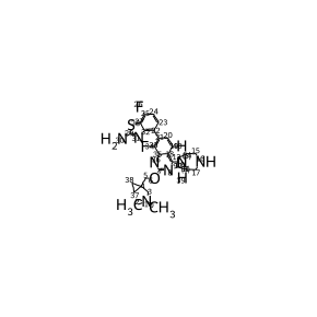 CN(C)CC1(COc2nc(N3[C@@H]4CC[C@H]3CNC4)c3ccc(-c4ccc(F)c5sc(N)nc45)c(F)c3n2)CC1